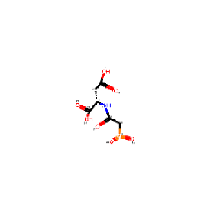 O=C(O)C[C@H](NC(=O)CP(=O)=O)C(=O)O